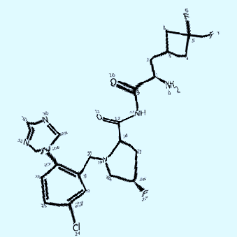 N[C@H](CC1CC(F)(F)C1)C(=O)NC(=O)C1C[C@@H](F)CN1Cc1cc(Cl)ccc1-n1cncn1